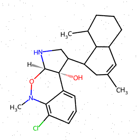 CC1=CC2CCCC(C)C2C(C2CN[C@@H]3ON(C)c4c(Cl)cccc4[C@]23O)C1